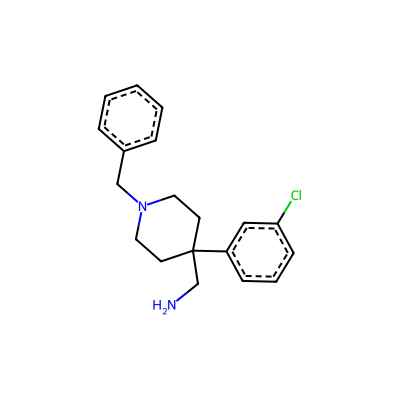 NCC1(c2cccc(Cl)c2)CCN(Cc2ccccc2)CC1